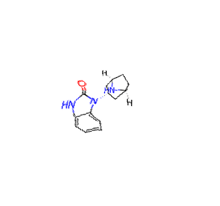 O=c1[nH]c2ccccc2n1[C@@H]1C[C@H]2CC[C@@H](C1)N2